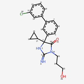 N=C1NC(c2cccc(-c3cccc(Cl)c3)c2)(C2CC2)C(=O)N1CCCO